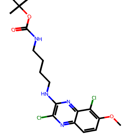 COc1ccc2nc(Cl)c(NCCCCNC(=O)OC(C)(C)C)nc2c1Cl